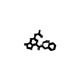 CC(=O)Oc1nc(N[C@H](CO)Cc2ccccc2)c2nc[nH]c2n1